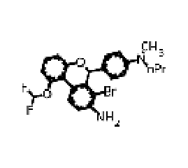 CCCN(C)c1ccc(C2Oc3cccc(OC(F)F)c3-c3ccc(N)c(Br)c32)cc1